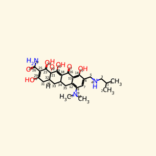 CC(C)CNCc1cc(N(C)C)c2c(c1O)C(=O)C1=C(O)[C@]3(O)C(=O)C(C(N)=O)=C(O)C[C@@H]3CC1C2